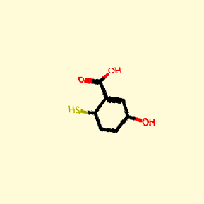 O=C(O)C1=CC(O)CCC1S